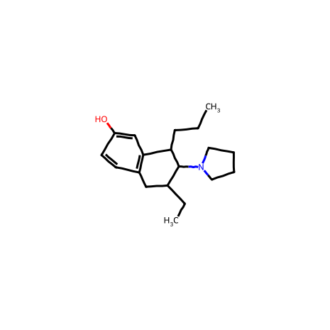 CCCC1c2cc(O)ccc2CC(CC)C1N1CCCC1